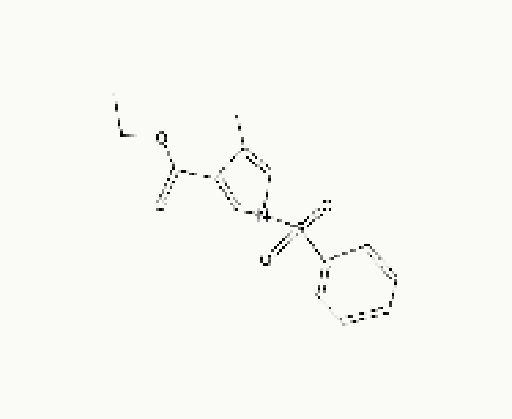 CCOC(=O)c1cn(S(=O)(=O)c2ccccc2)cc1C